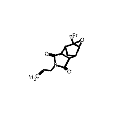 C=CCN1C(=O)C2C3CC(C2C1=O)C1(CCC)OC31